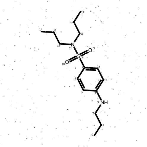 CCCNc1ccc(S(=O)(=O)N(CCC)CCC)cc1